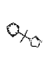 CC(C)(c1ccccc1)N1C=NCC1